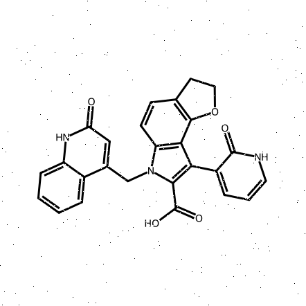 O=C(O)c1c(-c2ccc[nH]c2=O)c2c3c(ccc2n1Cc1cc(=O)[nH]c2ccccc12)CCO3